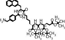 CC(C)(C)OC(=O)CC[C@H](NC(=O)N[C@@H](CCCCNC(=O)[C@H](Cc1ccc2ccccc2c1)NC(=O)c1ccc(CN)cc1)C(=O)OC(C)(C)C)C(=O)OC(C)(C)C